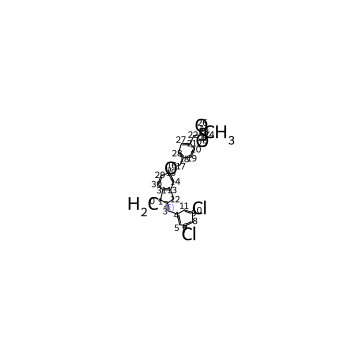 C=C1/C(=C/c2cc(Cl)cc(Cl)c2)Cc2cc(OCc3ccc(CS(C)(=O)=O)cc3)ccc21